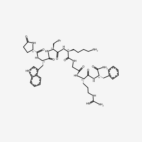 CC(C)C[C@H](NC(=O)[C@H](Cc1c[nH]c2ccccc12)NC(=O)[C@@H]1CCC(=O)N1)C(=O)N[C@@H](CCCCN)C(=O)NCC(=O)N[C@@H](CCCNC(=N)N)C(=O)N[C@@H](Cc1ccccc1)C(N)=O